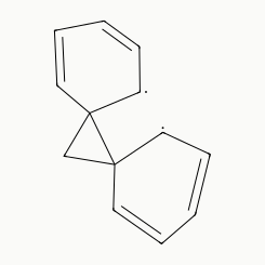 [CH]1C=CC=CC12CC21[CH]C=CC=C1